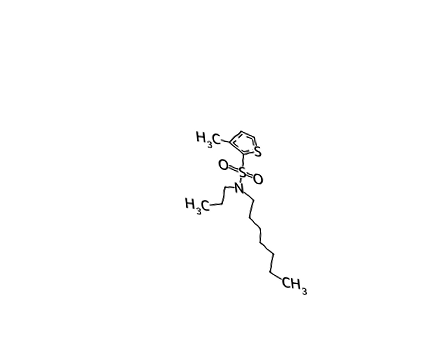 CCCCCCCN(CCC)S(=O)(=O)c1sccc1C